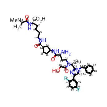 CN[C@@H](C)C(=O)N[C@@H](CCCCNC(=O)[C@@H]1CC[C@H](NC(=O)[C@@H](N)CCN(C(=O)CO)[C@@H](c2nc(-c3cc(F)ccc3F)cn2Cc2ccccc2)C(C)(C)C)C1)C(=O)O